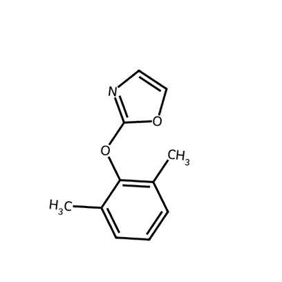 Cc1cccc(C)c1Oc1ncco1